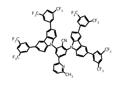 Cc1cccc(-c2cc(-n3c4ccc(-c5cc(C(F)(F)F)cc(C(F)(F)F)c5)cc4c4cc(-c5cc(C(F)(F)F)cc(C(F)(F)F)c5)ccc43)c(C#N)c(-n3c4ccc(-c5cc(C(F)(F)F)cc(C(F)(F)F)c5)cc4c4cc(-c5cc(C(F)(F)F)cc(C(F)(F)F)c5)ccc43)c2)n1